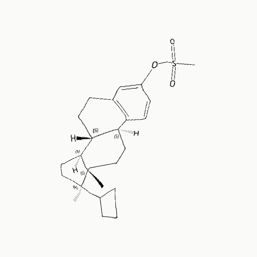 C[C@]12CC[C@@H]3c4ccc(OS(C)(=O)=O)cc4CC[C@H]3[C@@H]1CC[C@]2(C)C1CCC1